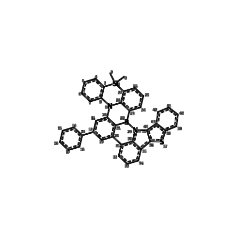 C[Si]1(C)c2ccccc2N2c3cc(-c4ccccc4)cc4c3B(c3cccc1c32)n1c2c-4cccc2c2sc3ccccc3c21